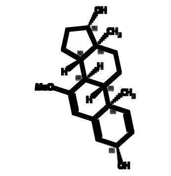 COC1=CC2=C[C@@H](O)C=C[C@]2(C)[C@H]2CC[C@]3(C)[C@@H](O)CC[C@H]3[C@H]12